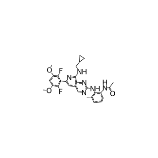 COc1cc(OC)c(F)c(-c2cc3cnc(Nc4c(C)cccc4NC(C)=O)nc3c(NCC3CC3)n2)c1F